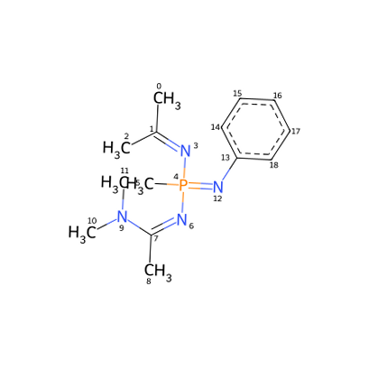 CC(C)=NP(C)(N=C(C)N(C)C)=Nc1ccccc1